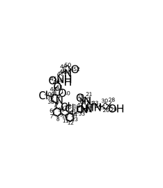 COc1nc(-c2cccc(-c3cccc(-c4cc5c(=O)n(C)c(CNC6CC(C)(O)C6)nn5c4)c3Cl)c2Cl)cc(Cl)c1COC(=O)NCC1CCC(=O)N1